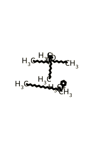 CCCCCCCCCCCCCCCC[N+](C)(C)Cc1ccccc1.CCCCCCCC[PH](CCCCCCCC)(CCCCCCCC)OC(C)=O